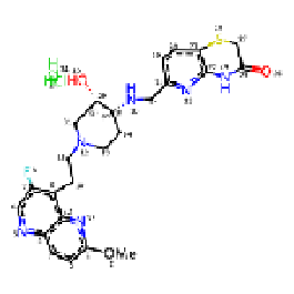 COc1ccc2ncc(F)c(CCN3CC[C@@H](NCc4ccc5c(n4)NC(=O)CS5)[C@@H](O)C3)c2n1.Cl.Cl